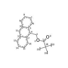 O=C(OCc1c2ccccc2cc2ccccc12)C(I)(I)I